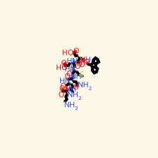 CSCC[C@H](NC(=O)[C@H](CCC(=O)O)NC(=O)[C@H](CCC(=O)O)NC(=O)OCC1c2ccccc2-c2ccccc21)C(=O)N[C@@H](CCC(N)=O)C(=O)N[C@@H](CCCCN)C(=O)N[C@@H](CCCCN)C(=O)O